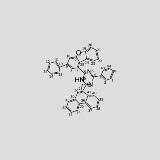 c1ccc(C2=NC(c3cc(-c4ccccc4)cc4oc5ccccc5c34)NC(c3cc4ccccc4c4ccccc34)=N2)cc1